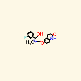 CN(CCOc1ccc2c(c1)CCC(=O)N2)C(CO)c1cccc(F)c1